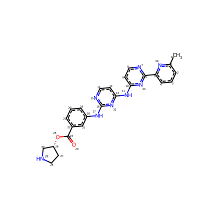 Cc1cccc(-c2nccc(Nc3ccnc(Nc4cccc(C(=O)O[C@@H]5CCNC5)c4)n3)n2)n1